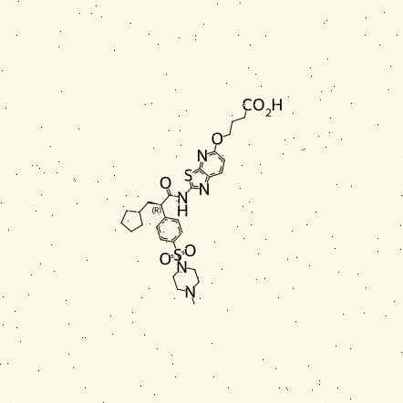 CN1CCN(S(=O)(=O)c2ccc([C@@H](CC3CCCC3)C(=O)Nc3nc4ccc(OCCCC(=O)O)nc4s3)cc2)CC1